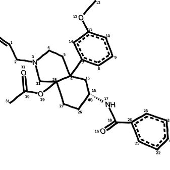 C=CCN1CCC2(c3cccc(OC)c3)C[C@H](NC(=O)c3ccccc3)CCC2(OC(C)=O)C1